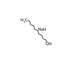 CCCCCCCCCCO.[NaH]